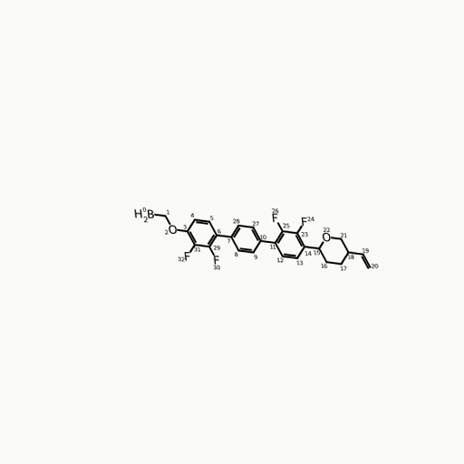 BCOc1ccc(-c2ccc(-c3ccc(C4CCC(C=C)CO4)c(F)c3F)cc2)c(F)c1F